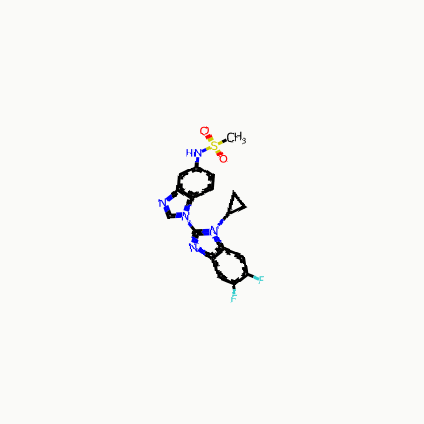 CS(=O)(=O)Nc1ccc2c(c1)ncn2-c1nc2cc(F)c(F)cc2n1C1CC1